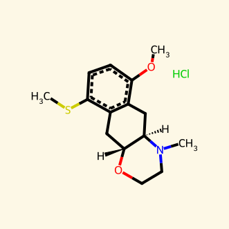 COc1ccc(SC)c2c1C[C@@H]1[C@@H](C2)OCCN1C.Cl